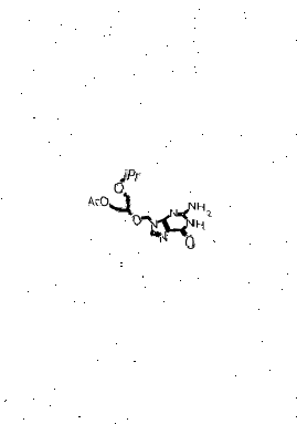 CC(=O)OCC(COC(C)C)OCn1cnc2c(=O)[nH]c(N)nc21